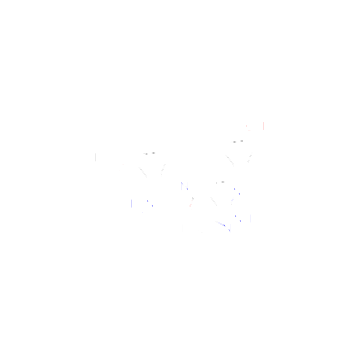 COc1cccc(C(CN)NC(=O)c2cc(-c3ccc(O)cc3)nc3[nH]nc(C)c23)c1